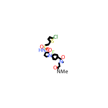 CNC(=O)CCN(C)C(=O)c1ccc(N2CCC(NS(=O)(=O)C=Cc3ccc(Cl)s3)C2=O)c(F)c1